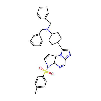 Cc1ccc(S(=O)(=O)N2C=CC3C2N=Cc2ncc(C4CCC(N(Cc5ccccc5)Cc5ccccc5)CC4)n23)cc1